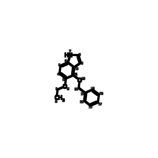 CCOc1ccc2[nH]ccc2c1OCc1ccccc1